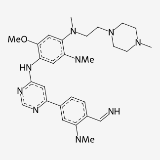 CNc1cc(-c2cc(Nc3cc(NC)c(N(C)CCN4CCN(C)CC4)cc3OC)ncn2)ccc1C=N